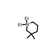 CC[N+]1(CC)CCCC(C)(C)C1